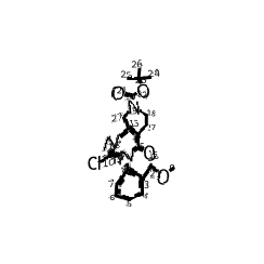 COCc1ccccc1-n1c(Cl)nc2c(c1=O)CCN(C(=O)OC(C)(C)C)C2